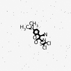 CCN(CC)c1ccc2c(C#N)c(-c3nc(Cl)c(Cl)s3)c(=O)oc2c1